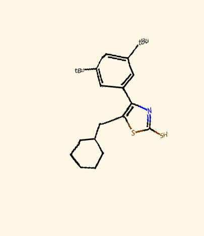 CC(C)(C)c1cc(-c2nc(S)sc2CC2CCCCC2)cc(C(C)(C)C)c1